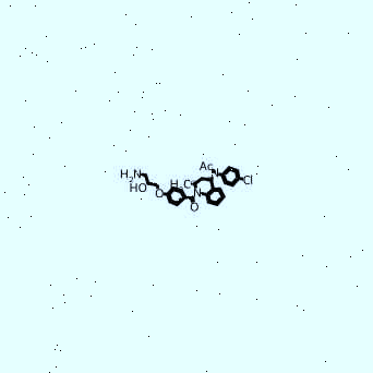 CC(=O)N(c1ccc(Cl)cc1)[C@@H]1C[C@H](C)N(C(=O)c2ccc(OCC(O)CN)cc2)c2ccccc21